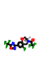 C[C@H]1COc2cc(-c3noc(C(F)(F)F)n3)cc(F)c2CN1C(=O)C(F)(F)F